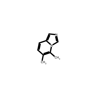 Cc1ccc2cncn2c1C